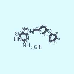 Cl.Nc1nc2c(ncn2CCc2ccc(Oc3ccccc3)cc2)c(=O)[nH]1